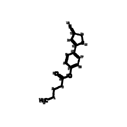 CCCCC(=O)Oc1ccc(C2=CC(=S)CS2)cc1